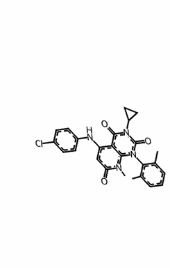 Cc1cccc(C)c1-n1c(=O)n(C2CC2)c(=O)c2c(Nc3ccc(Cl)cc3)cc(=O)n(C)c21